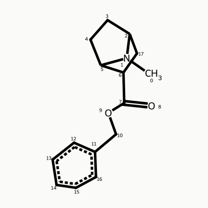 CN1C2CCC1C(C(=O)OCc1ccccc1)C2